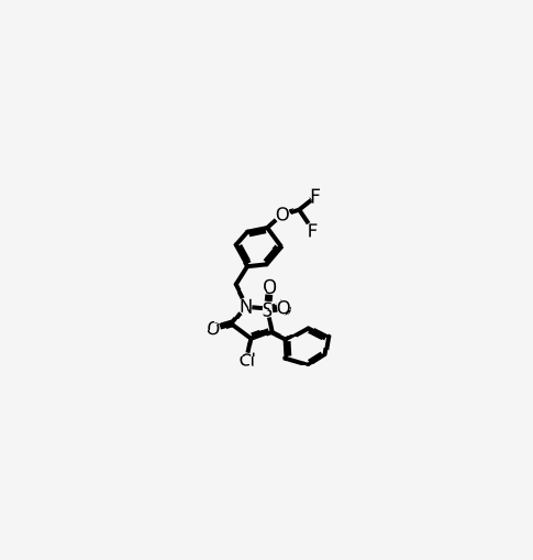 O=C1C(Cl)=C(c2ccccc2)S(=O)(=O)N1Cc1ccc(OC(F)F)cc1